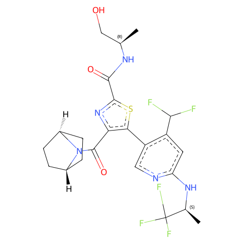 C[C@H](CO)NC(=O)c1nc(C(=O)N2[C@H]3CC[C@H]2CC3)c(-c2cnc(N[C@@H](C)C(F)(F)F)cc2C(F)F)s1